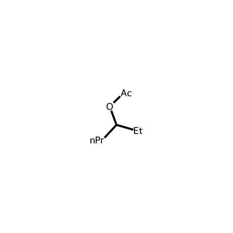 [CH2]CCC(CC)OC(C)=O